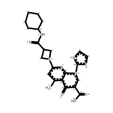 Cc1cc(N2CC(C(=O)NC3CCCCC3)C2)nc2c1c(=O)c(C(=O)O)cn2-c1nccs1